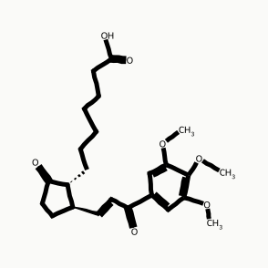 COc1cc(C(=O)C=C[C@H]2CCC(=O)[C@@H]2CCCCCCC(=O)O)cc(OC)c1OC